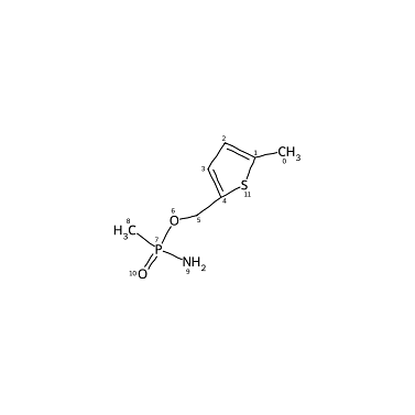 Cc1ccc(COP(C)(N)=O)s1